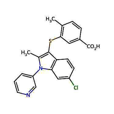 Cc1ccc(C(=O)O)cc1Sc1c(C)n(-c2cccnc2)c2cc(Cl)ccc12